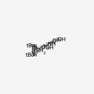 CC(C)(C)[Si](C)(C)OC(O[Si](C)(C)C(C)(C)C)[SiH2]CCCOCC(O)CNCCOCCO